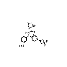 Cl.O=C(NC(c1ccccc1)c1ccc(C2CC(F)(F)C2)cn1)[C@H]1CC(F)CN1